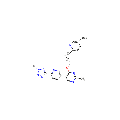 CCn1nnc(-c2ccc(-c3cnc(C)nc3OC[C@@H]3C[C@H]3c3ccc(OC)cn3)cn2)n1